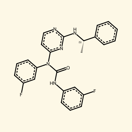 C[C@H](Nc1nccc(N(C(=O)Nc2cccc(F)c2)c2cccc(F)c2)n1)c1ccccc1